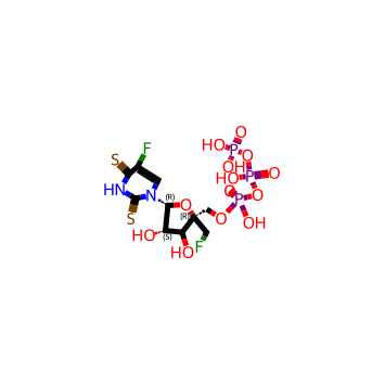 O=P(O)(O)OP(=O)(O)OP(=O)(O)OC[C@@]1(CF)O[C@@H](n2cc(F)c(=S)[nH]c2=S)[C@@H](O)C1O